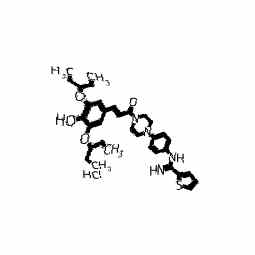 CCC(CC)Oc1cc(C=CC(=O)N2CCN(c3ccc(NC(=N)c4cccs4)cc3)CC2)cc(OC(CC)CC)c1O.Cl